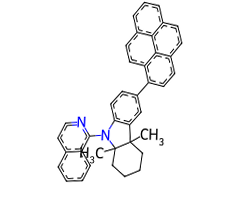 CC12CCCCC1(C)N(c1nccc3ccccc13)c1ccc(-c3ccc4ccc5cccc6ccc3c4c56)cc12